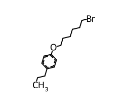 CCCc1ccc(OCCCCCCBr)cc1